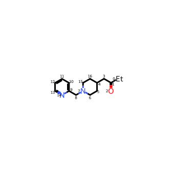 CCC(=O)CC1CCN(Cc2ccccn2)CC1